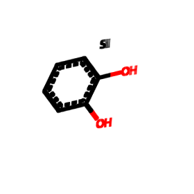 Oc1ccccc1O.[Si]